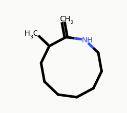 C=C1NCCCCCCCC1C